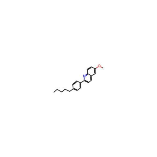 CCCCCc1ccc(-c2ccc3cc(OC)ccc3n2)cc1